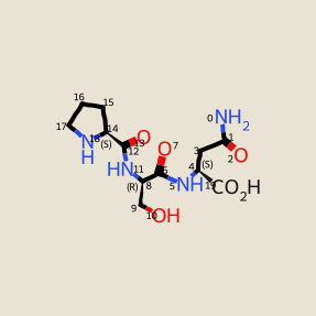 NC(=O)C[C@H](NC(=O)[C@@H](CO)NC(=O)[C@@H]1CCCN1)C(=O)O